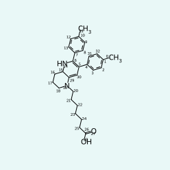 Cc1ccc(C2=C(c3ccc(C)cc3)NC3CCCN(CCCCCCC(=O)O)C3=C2)cc1